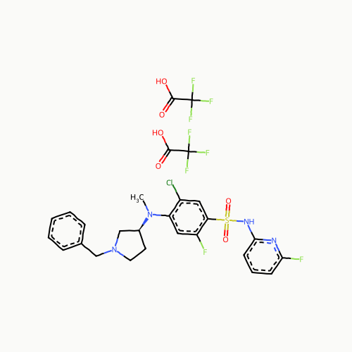 CN(c1cc(F)c(S(=O)(=O)Nc2cccc(F)n2)cc1Cl)[C@H]1CCN(Cc2ccccc2)C1.O=C(O)C(F)(F)F.O=C(O)C(F)(F)F